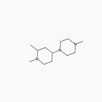 CC1CC(N2CCN(C)CC2)CCN1C